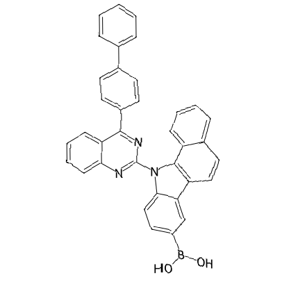 OB(O)c1ccc2c(c1)c1ccc3ccccc3c1n2-c1nc(-c2ccc(-c3ccccc3)cc2)c2ccccc2n1